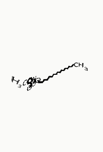 CCCCCCCCCCCCCCCC/C=C\Oc1nc2ccc(C)cc2c(=O)o1